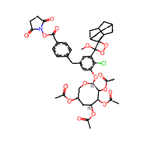 COC1(c2cc(Cc3ccc(C(=O)ON4C(=O)CCC4=O)cc3)cc(O[C@@H]3OCC(OC(C)=O)C[C@H](OC(C)=O)C(OC(C)=O)C3OC(C)=O)c2Cl)OOC12C1CC3CC1CC32